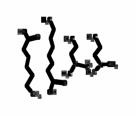 CCCCCCC(=O)O.CCCCCCCC(=O)O.CCCN(C)C.CCCN(C)C